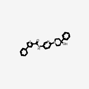 O=C(Nc1ccc(N2CCC(O)(c3ccccc3)CC2)nc1)c1cc(-c2ccccc2)cs1